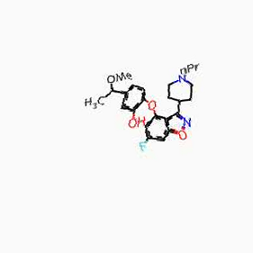 CCCN1CCC(c2noc3cc(F)cc(Oc4ccc(C(C)OC)cc4O)c23)CC1